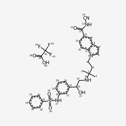 CC(C)(CCn1ccc2cc(C(=O)NC#N)ccc21)NCC(O)c1cccc(NS(=O)(=O)c2ccccc2)c1.O=C(O)C(F)(F)F